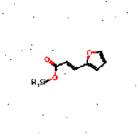 O=C(C=Cc1ccco1)O[SiH3]